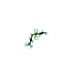 [CH2]C#CC(Cl)(Cl)CC#CC(F)F